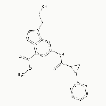 COC(=O)c1cc(NC(=O)C2CC2c2ccccc2)cc2c1ccn2CCO